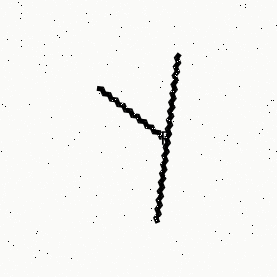 CCCCCCCCCCCCCCCCCCCP(CCCCCCCCCCCCCCCCCCC)CCCCCCCCCCCCCCCCCCC